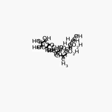 CC(=O)C(=O)O.CC(O)CC(=O)O.CC(O)CC(=O)O.CO.CO.O=C(O)CC(=O)O.O=CO.OCC(O)CO